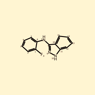 Fc1ccccc1Nc1n[nH]c2ccccc12